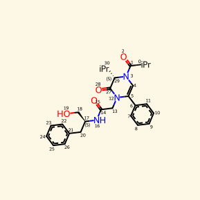 CC(C)C(=O)N1C=C(c2ccccc2)N(CC(=O)N[C@H](CO)Cc2ccccc2)C(=O)[C@@H]1C(C)C